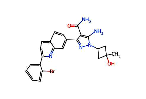 CC1(O)CC(n2nc(-c3ccc4ccc(-c5ccccc5Br)nc4c3)c(C(N)=O)c2N)C1